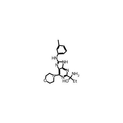 CCC(N)(O)c1nc(N2CCOCC2)c2nc(Nc3cccc(C)c3)[nH]c2n1